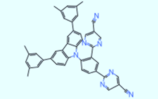 Cc1cc(C)cc(-c2ccc3c(c2)c2cc(-c4cc(C)cc(C)c4)ccc2n3-c2ccc(-c3ncc(C#N)cn3)cc2-c2ncc(C#N)cn2)c1